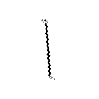 CCCCCCCCCCCCCCCCCCCCCCCCC[CH]OC